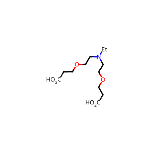 CCN(CCOCCC(=O)O)CCOCCC(=O)O